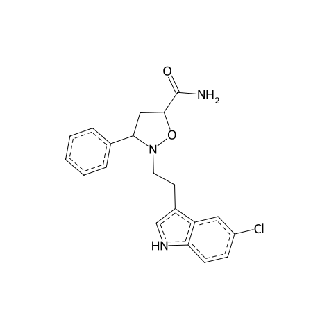 NC(=O)C1CC(c2ccccc2)N(CCc2c[nH]c3ccc(Cl)cc23)O1